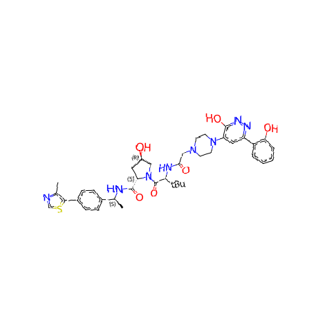 Cc1ncsc1-c1ccc([C@H](C)NC(=O)[C@@H]2C[C@@H](O)CN2C(=O)C(NC(=O)CN2CCN(c3cc(-c4ccccc4O)nnc3O)CC2)C(C)(C)C)cc1